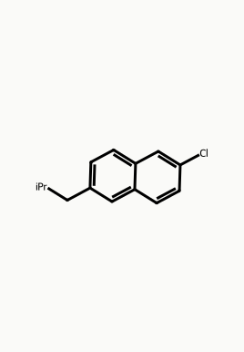 CC(C)Cc1ccc2cc(Cl)ccc2c1